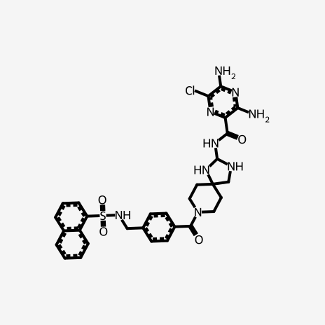 Nc1nc(N)c(C(=O)NC2NCC3(CCN(C(=O)c4ccc(CNS(=O)(=O)c5cccc6ccccc56)cc4)CC3)N2)nc1Cl